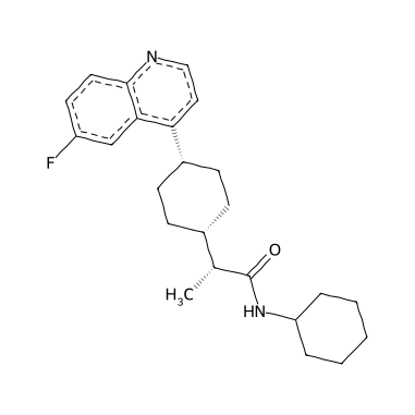 C[C@@H](C(=O)NC1CCCCC1)[C@H]1CC[C@@H](c2ccnc3ccc(F)cc32)CC1